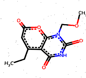 CCc1cc(=O)oc2c1c(=O)[nH]c(=O)n2COC